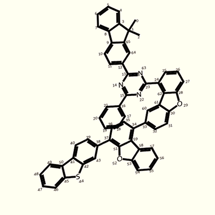 CC1(C)c2ccccc2-c2ccc(-c3nc(-c4ccccc4)nc(-c4cccc5oc6ccc(-c7ccc(-c8ccc9c(c8)sc8ccccc89)c8oc9ccccc9c78)cc6c45)n3)cc21